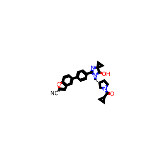 N#Cc1cc2cc(-c3ccc(C4=NC5(CC5)C(O)N4C[C@@H]4CCN(C(=O)C5CC5)C4)cc3)ccc2o1